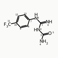 N=C(NC(N)=O)Nc1ccc(C(F)(F)F)cc1